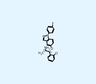 C[C@H](N)[C@H](Oc1ccc2c(cnn2-c2ccc(F)cc2)c1)c1ccccc1Cl